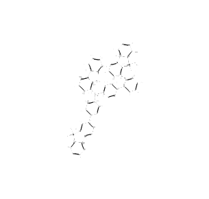 CC1(C)c2ccccc2-c2ccc(-c3ccc(N(c4ccc(-c5ccccc5-c5cccc6c5C(C)(C)c5ccccc5-6)cc4)c4cccc5c4oc4ccccc45)cc3)cc21